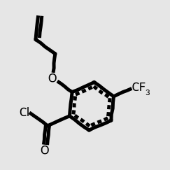 C=CCOc1cc(C(F)(F)F)ccc1C(=O)Cl